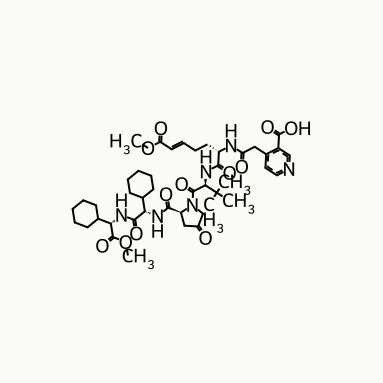 COC(=O)/C=C/CC[C@H](NC(=O)Cc1ccncc1C(=O)O)C(=O)N[C@H](C(=O)N1CC(=O)C[C@H]1C(=O)N[C@H](C(=O)N[C@H](C(=O)OC)C1CCCCC1)C1CCCCC1)C(C)(C)C